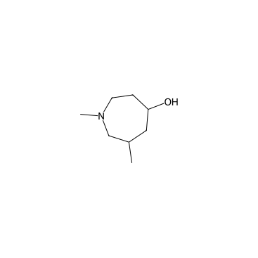 CC1CC(O)CCN(C)C1